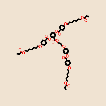 C=CC(=O)OCCCCCCCOc1ccc(C(=O)Oc2ccc(OC(=O)c3ccc(OCCCCCCCOC(=O)C=C)cc3)c(C(=O)OCCCOc3ccc(OC(=O)c4ccc(OCCCCCCOC(=O)C=C)cc4)cc3)c2)cc1